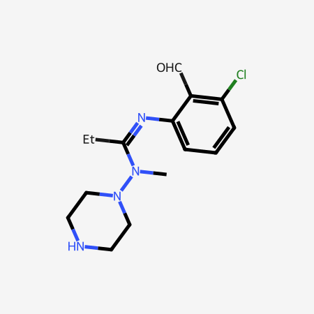 CC/C(=N/c1cccc(Cl)c1C=O)N(C)N1CCNCC1